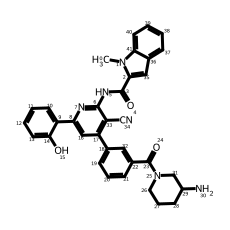 Cn1c(C(=O)Nc2nc(-c3ccccc3O)cc(-c3cccc(C(=O)N4CCCC(N)C4)c3)c2C#N)cc2ccccc21